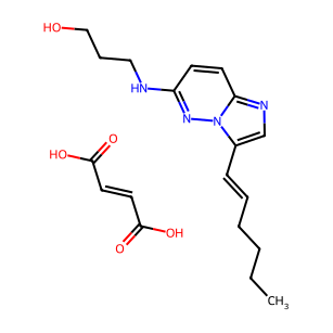 CCCCC=Cc1cnc2ccc(NCCCO)nn12.O=C(O)C=CC(=O)O